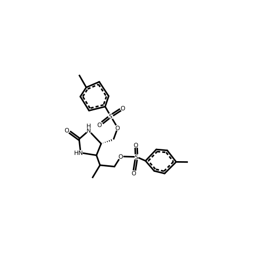 Cc1ccc(S(=O)(=O)OCC(C)C2NC(=O)N[C@@H]2COS(=O)(=O)c2ccc(C)cc2)cc1